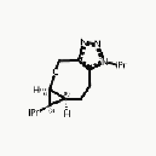 CC(C)[C@@H]1[C@@H]2CCc3c(nnn3C(C)C)CC[C@@H]21